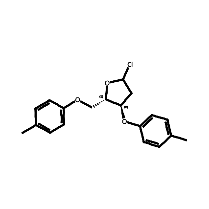 Cc1ccc(OC[C@@H]2OC(Cl)C[C@H]2Oc2ccc(C)cc2)cc1